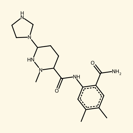 Cc1cc(NC(=O)C2CCC(N3CCNC3)NN2C)c(C(N)=O)cc1C